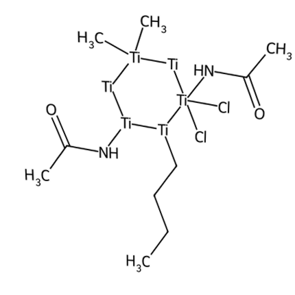 CCC[CH2][Ti]1[Ti]([NH]C(C)=O)[Ti][Ti]([CH3])([CH3])[Ti][Ti]1([Cl])([Cl])[NH]C(C)=O